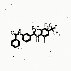 CN(C(=O)c1ccccc1)c1cccc(C(=O)Nc2c(I)cc(C(F)(C(F)(F)F)C(F)(F)F)cc2C(F)(F)F)c1